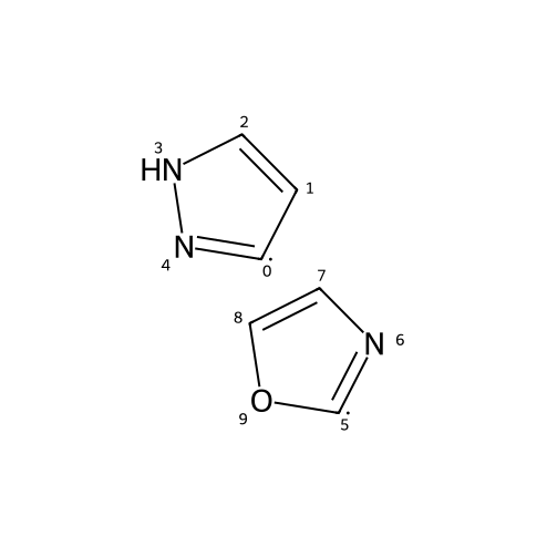 [c]1cc[nH]n1.[c]1ncco1